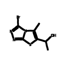 Cc1c(C(C)O)sc2nnc(Br)n12